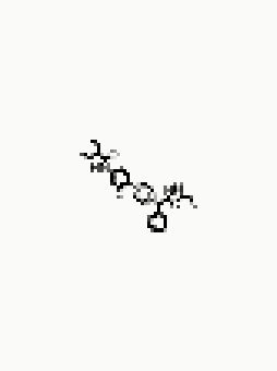 CCc1nnc(C(c2ccccc2)N2CCN(c3ccc(NC(=O)C(CC)CC)cc3F)CC2)o1